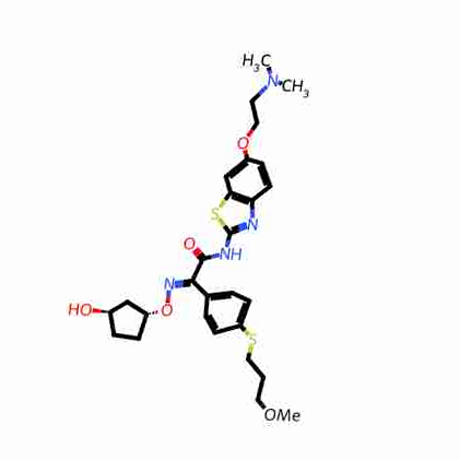 COCCCSc1ccc(/C(=N\O[C@@H]2CC[C@@H](O)C2)C(=O)Nc2nc3ccc(OCCN(C)C)cc3s2)cc1